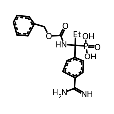 CCC(NC(=O)OCc1ccccc1)(c1ccc(C(=N)N)cc1)P(=O)(O)O